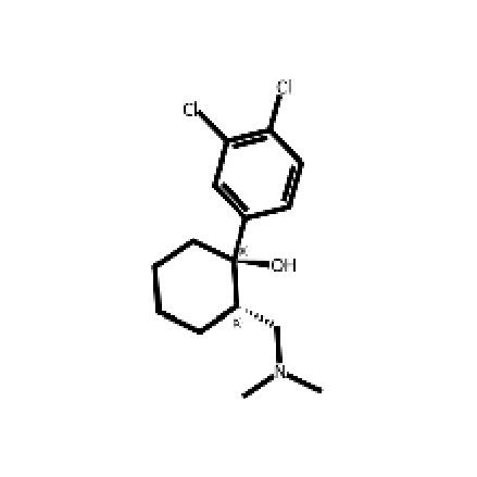 CN(C)C[C@@H]1CCCC[C@]1(O)c1ccc(Cl)c(Cl)c1